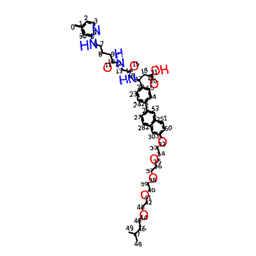 Cc1ccnc(NCCCC(=O)NCC(=O)N[C@@H](CC(=O)O)c2ccc(-c3ccc4cc(OCCOCCOCCOCCOCCC(C)C)ccc4c3)cc2)c1